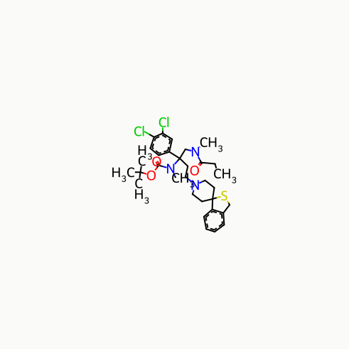 CCC(=O)N(C)CC(CCN1CCC2(CC1)SCc1ccccc12)(c1ccc(Cl)c(Cl)c1)N(C)C(=O)OC(C)(C)C